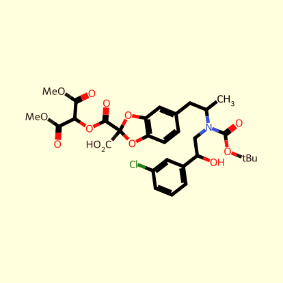 COC(=O)C(OC(=O)C1(C(=O)O)Oc2ccc(CC(C)N(CC(O)c3cccc(Cl)c3)C(=O)OC(C)(C)C)cc2O1)C(=O)OC